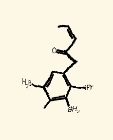 Bc1cc(CC(=O)/C=C\C)c(C(C)C)c(B)c1C